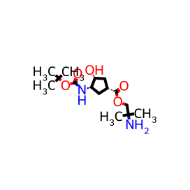 CC(C)(N)COC(=O)[C@H]1C[C@@H](O)[C@@H](NC(=O)OC(C)(C)C)C1